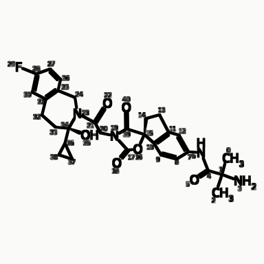 CC(C)(N)C(=O)Nc1ccc2c(c1)CC[C@]21OC(=O)N(CC(=O)N2Cc3ccc(F)cc3CC[C@@]2(O)C2CC2)C1=O